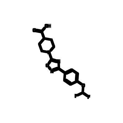 O=C(O)C1CCN(c2nc(-c3ccc(OC(F)F)cc3)no2)CC1